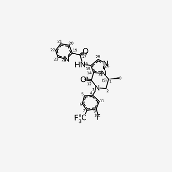 C[C@H]1CN(c2ccc(C(F)(F)F)c(F)c2)C(=O)c2c(NC(=O)c3ccccn3)cnn21